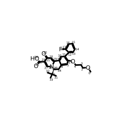 COCCCOc1cc2c(cc1-c1ccccc1F)-c1cc(=O)c(C(=O)O)cn1[C@H](C(C)(C)C)C2